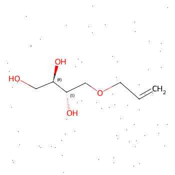 C=CCOC[C@H](O)[C@H](O)CO